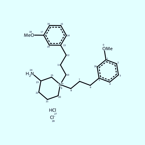 COc1cccc(CCC[N+]2(CCCc3cccc(OC)c3)CCCC(N)C2)c1.Cl.[Cl-]